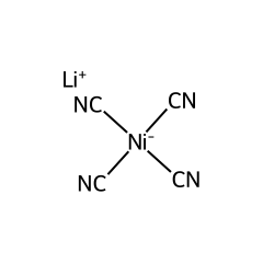 N#[C][Ni-]([C]#N)([C]#N)[C]#N.[Li+]